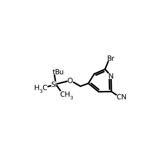 CC(C)(C)[Si](C)(C)OCc1cc(Br)nc(C#N)c1